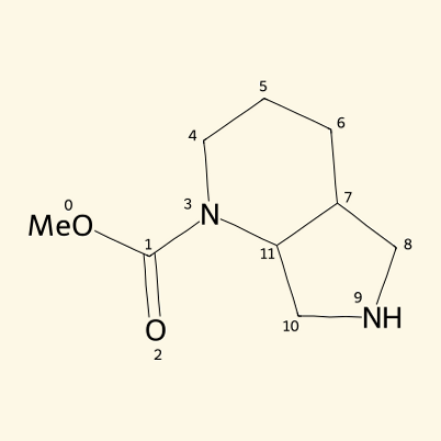 COC(=O)N1CCCC2CNCC21